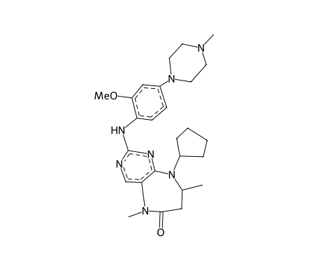 COc1cc(N2CCN(C)CC2)ccc1Nc1ncc2c(n1)N(C1CCCC1)C(C)CC(=O)N2C